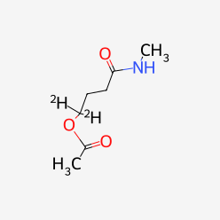 [2H]C([2H])(CCC(=O)NC)OC(C)=O